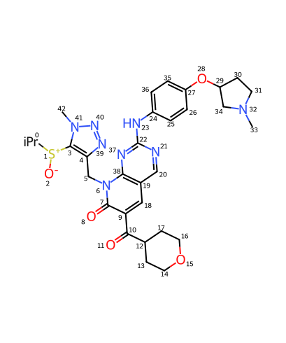 CC(C)[S+]([O-])c1c(Cn2c(=O)c(C(=O)C3CCOCC3)cc3cnc(Nc4ccc(OC5CCN(C)C5)cc4)nc32)nnn1C